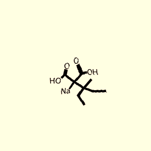 CCC(C)(CC)[C]([Na])(C(=O)O)C(=O)O